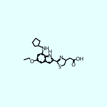 CCOc1cc(NC2CCCC2)c2[nH]c(C3=NC(CC(=O)O)CS3)cc2c1